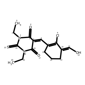 CCN1C(=O)C(=CC2=C(Cl)/C(=C/O)CCC2)C(=O)N(CC)C1=S